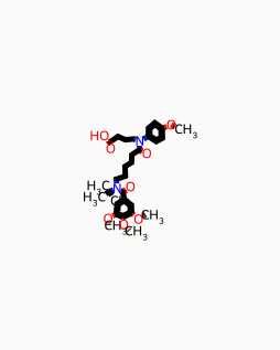 COc1ccc(N(CCCC(=O)O)C(=O)CCCCCN(C(=O)c2cc(OC)c(OC)c(OC)c2)C(C)(C)C)cc1